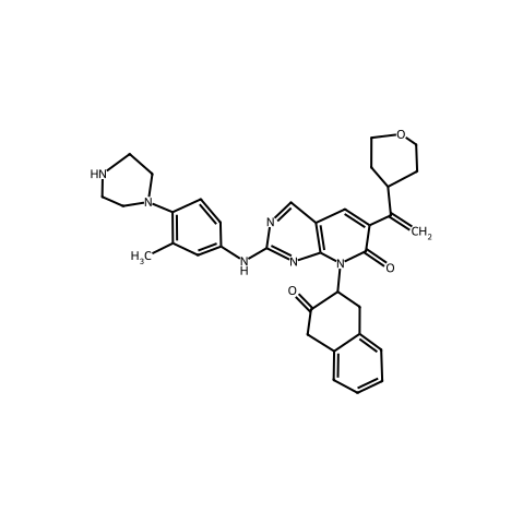 C=C(c1cc2cnc(Nc3ccc(N4CCNCC4)c(C)c3)nc2n(C2Cc3ccccc3CC2=O)c1=O)C1CCOCC1